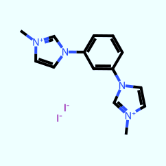 C[n+]1ccn(-c2cccc(-n3cc[n+](C)c3)c2)c1.[I-].[I-]